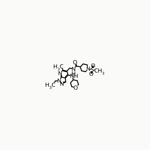 CCn1ncc2c(NC3CCOCC3)c(CNC(=O)C3CCN(S(C)(=O)=O)CC3)c(C)nc21